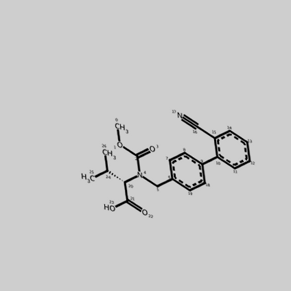 COC(=O)N(Cc1ccc(-c2ccccc2C#N)cc1)[C@H](C(=O)O)C(C)C